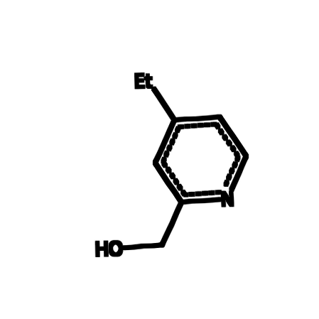 [CH2]Cc1ccnc(CO)c1